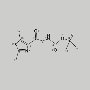 Cc1nc(C(=O)CNC(=O)OC(C)(C)C)c(C)s1